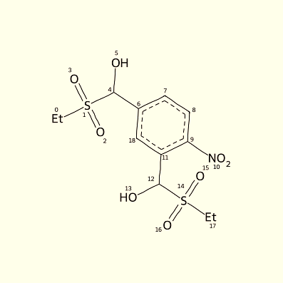 CCS(=O)(=O)C(O)c1ccc([N+](=O)[O-])c(C(O)S(=O)(=O)CC)c1